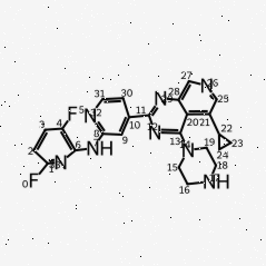 Fc1ccc(F)c(Nc2cc(-c3nc(N4CCNCC4)c4c(C5CC5)cncc4n3)ccn2)n1